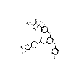 COC(=O)C(C)(C)c1ccc(Oc2cc(NC(=O)N3CCC(O)(CC(C)C)CC3)cc(Oc3ccc(F)cc3)c2)cc1